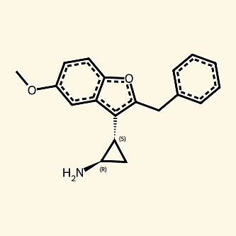 COc1ccc2oc(Cc3ccccc3)c([C@@H]3C[C@H]3N)c2c1